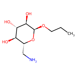 CCCO[C@H]1O[C@H](CN)[C@@H](O)[C@H](O)[C@H]1O